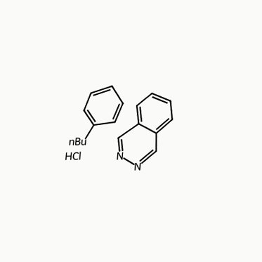 CCCCc1ccccc1.Cl.c1ccc2cnncc2c1